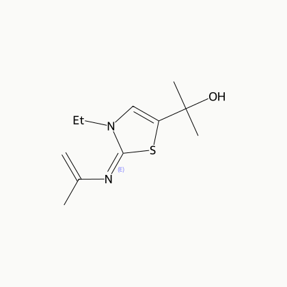 C=C(C)/N=c1/sc(C(C)(C)O)cn1CC